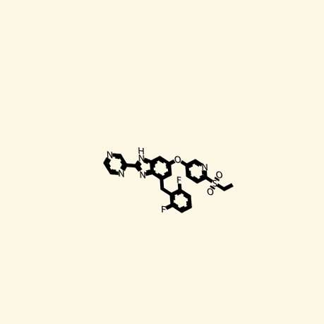 CCS(=O)(=O)c1ccc(Oc2cc(Cc3c(F)cccc3F)c3nc(-c4cnccn4)[nH]c3c2)cn1